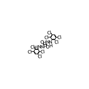 O=C(NNc1c(Cl)c(Cl)cc(Cl)c1Cl)C(=O)NNc1c(Cl)c(Cl)cc(Cl)c1Cl